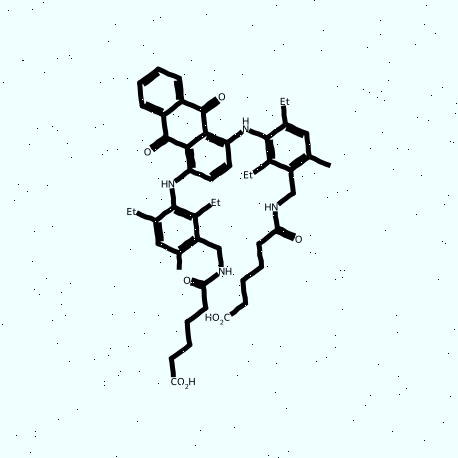 CCc1cc(C)c(CNC(=O)CCCCC(=O)O)c(CC)c1Nc1ccc(Nc2c(CC)cc(C)c(CNC(=O)CCCCC(=O)O)c2CC)c2c1C(=O)c1ccccc1C2=O